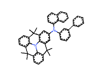 CC1(C)c2cccc3c2N2c4c1cccc4C(C)(C)c1cc(N(c4cccc(-c5ccccc5)c4)c4cccc5ccccc45)cc(c12)C3(C)C